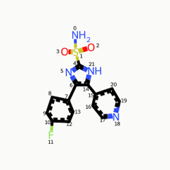 NS(=O)(=O)c1nc(-c2ccc(F)cc2)c(-c2ccncc2)[nH]1